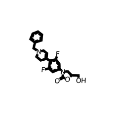 O=C1OC(CO)CN1c1cc(F)c(C2=CCN(Cc3ccccc3)CC2)c(F)c1